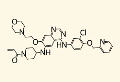 C=CC(=O)N1CCC(Nc2cc3c(Nc4ccc(OCc5ccccn5)c(Cl)c4)ncnc3cc2OCCN2CCOCC2)CC1